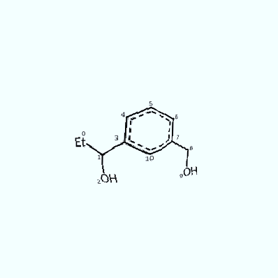 CCC(O)c1cccc(CO)c1